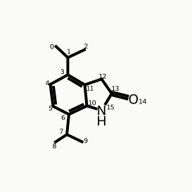 CC(C)c1ccc(C(C)C)c2c1CC(=O)N2